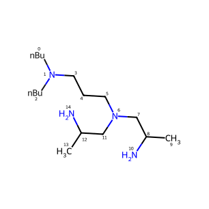 CCCCN(CCCC)CCCN(CC(C)N)CC(C)N